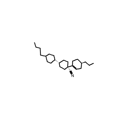 CCCCC1CCC([C@H]2CC[C@](C#N)(C3=CC[C@H](CCC)CC3)CC2)CC1